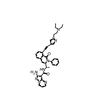 CCN(CC)CCn1cc(C#Cc2cccc3cc([C@@H](C)NC(=O)c4c(N)nn5cccnc45)n(-c4ccccc4)c(=O)c23)cn1